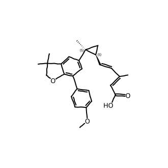 COc1ccc(-c2cc([C@@]3(C)C[C@H]3C=CC(C)=CC(=O)O)cc3c2OCC3(C)C)cc1